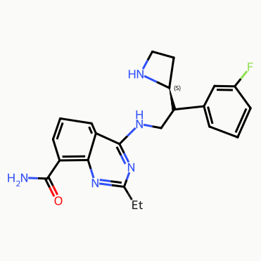 CCc1nc(NCC(c2cccc(F)c2)[C@@H]2CCN2)c2cccc(C(N)=O)c2n1